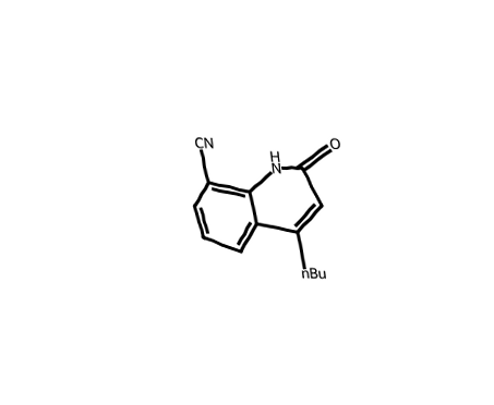 CCCCc1cc(=O)[nH]c2c(C#N)cccc12